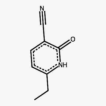 CCc1ccc(C#N)c(=O)[nH]1